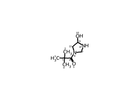 CC(C)(C)C(=O)N1CNC(O)C1